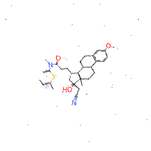 C=C(S/C(C)=C\C)N(C)C(=O)CCC1C[C@@](O)(CC#N)C2(C)CCC3c4ccc(OC)cc4CCC3C12